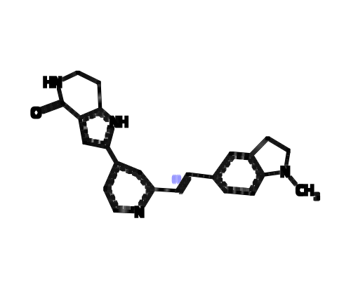 CN1CCc2cc(/C=C/c3cc(-c4cc5c([nH]4)CCNC5=O)ccn3)ccc21